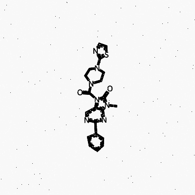 Cn1c(=O)n(C(=O)N2CCN(c3nccs3)CC2)c2cnc(-c3ccccc3)nc21